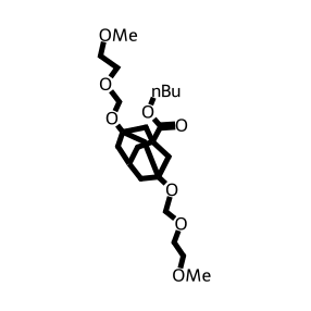 CCCCOC(=O)C12CC3CC(OCOCCOC)(CC(OCOCCOC)(C3)C1)C2